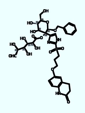 O=C[C@@H](O)[C@H](O)[C@@H](O)[C@H](O)C(=O)O[C@@]1(c2c[nH]c(S(=O)(=O)CCCOc3ccc4c(c3)CCC(=O)N4)n2)[C@H](OCc2ccccc2)O[C@H](CO)[C@@H](O)[C@@H]1O